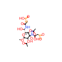 CO[C@H]1O[C@H](C(O)NC(=O)C[PH](=O)O)[C@@H](OC(C)=O)[C@@](O)(NC(=O)C[PH](=O)O)[C@@H]1OC(C)=O